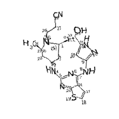 CC[C@H]1C[C@H](Nc2nc(Nc3cc(CO)[nH]n3)c3ccsc3n2)C[C@@H](C)N1CCC#N